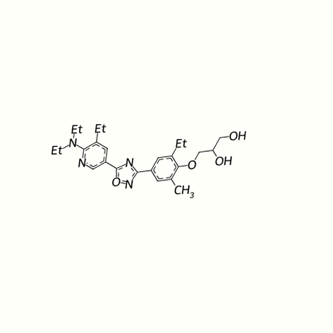 CCc1cc(-c2nc(-c3cc(C)c(OCC(O)CO)c(CC)c3)no2)cnc1N(CC)CC